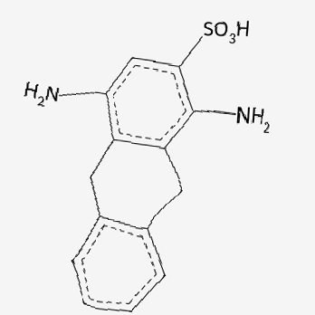 Nc1cc(S(=O)(=O)O)c(N)c2c1Cc1ccccc1C2